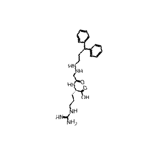 N=C(N)NCCC[C@H](NC(=O)CNNCCC(c1ccccc1)c1ccccc1)C(=O)O